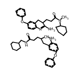 CN(C(=O)CCC1Cc2cc(Oc3ccccc3)ccc2N=C1N)C1CCCCC1.N#CC(CCC(=O)NCC1CCCCC1)Cc1cc(Oc2ccccc2)ccc1N